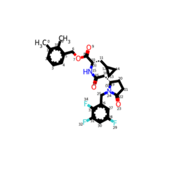 Cc1cccc(COC(=O)[C@H](CC2CC2)NC(=O)C[C@@H]2CCC(=O)N2Cc2cc(F)cc(F)c2F)c1C